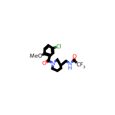 COc1ccc(Cl)cc1C(=O)N1CCCC(CNC(=O)C(F)(F)F)C1